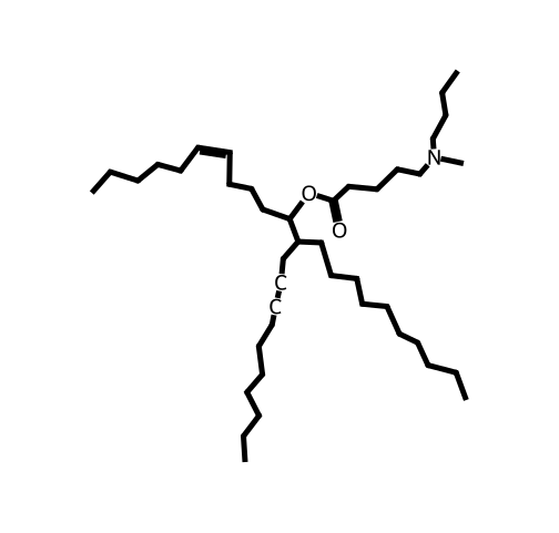 CCCCC/C=C\CCCC(OC(=O)CCCCN(C)CCCC)C(CCCCCCCCCC)CCCCCCCCCC